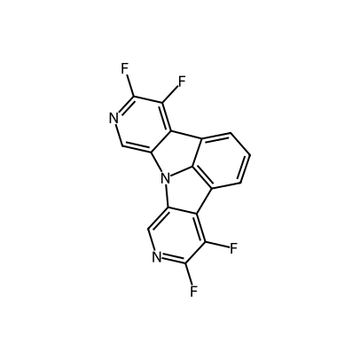 Fc1ncc2c(c1F)c1cccc3c4c(F)c(F)ncc4n2c13